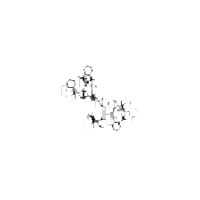 CC1(C(=O)N2CCC(c3cccc(C(=O)N[C@@H](C(=O)N4CCC5(CCN(CC(=O)N6CCN(C(=O)c7cc(Cc8n[nH]c(=O)c9ccccc89)ccc7F)CC6)CC5)CC4)C4CCCCC4)c3F)CC2)CC1